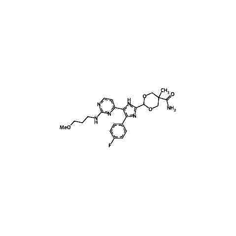 COCCCNc1nccc(-c2[nH]c(C3OCC(C)(C(N)=O)CO3)nc2-c2ccc(F)cc2)n1